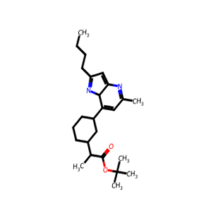 CCCCC1=NC2C(=C1)N=C(C)C=C2C1CCCC(C(C)C(=O)OC(C)(C)C)C1